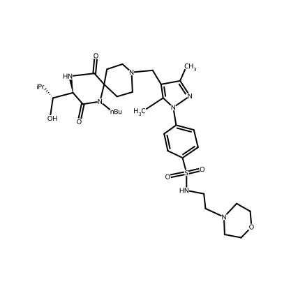 CCCCN1C(=O)[C@@H]([C@H](O)C(C)C)NC(=O)C12CCN(Cc1c(C)nn(-c3ccc(S(=O)(=O)NCCN4CCOCC4)cc3)c1C)CC2